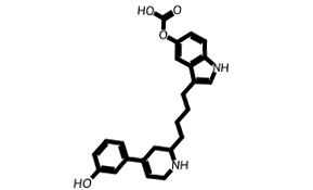 O=C(O)Oc1ccc2[nH]cc(CCCCC3CC(c4cccc(O)c4)=CCN3)c2c1